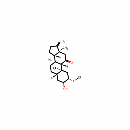 C=C1CC[C@H]2[C@@H]3CC[C@H]4C[C@H](O)[C@@H](OCC)C[C@]4(C)[C@H]3C(=O)C[C@]12C